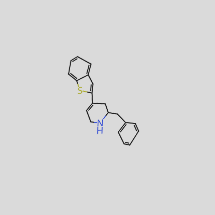 C1=C(c2cc3ccccc3s2)CC(Cc2ccccc2)NC1